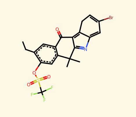 CCc1cc2c(cc1OS(=O)(=O)C(F)(F)F)C(C)(C)C1=NC3=CC(Br)=CCC3=C1C2=O